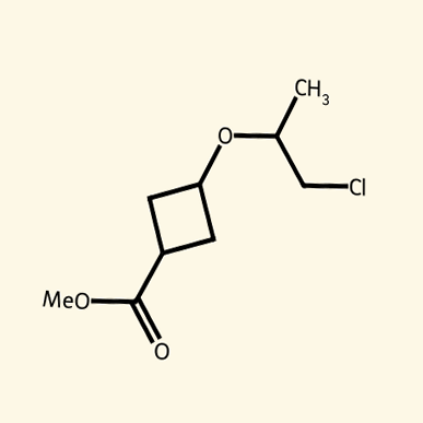 COC(=O)C1CC(OC(C)CCl)C1